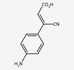 N#CC(=CC(=O)O)c1ccc(N)cc1